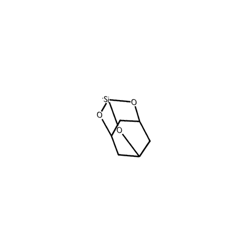 C1C2CC3CC1O[Si](O2)O3